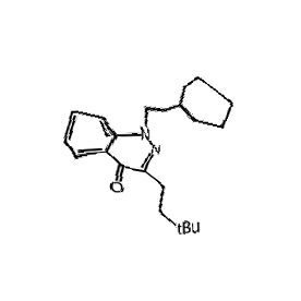 CC(C)(C)CCc1nn(CC2CCCCC2)c2ccccc2c1=O